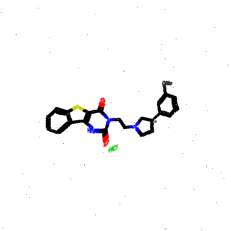 COc1cccc([C@H]2CCN(CCn3c(=O)[nH]c4c(sc5ccccc54)c3=O)C2)c1.Cl